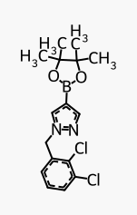 CC1(C)OB(c2cnn(Cc3cccc(Cl)c3Cl)c2)OC1(C)C